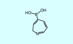 OB(O)C1=CCN=CC=C1